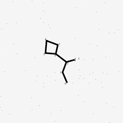 CCC(I)C1CCC1